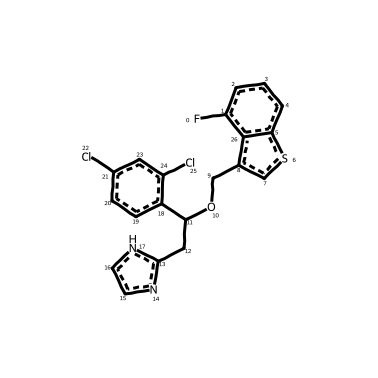 Fc1cccc2scc(COC(Cc3ncc[nH]3)c3ccc(Cl)cc3Cl)c12